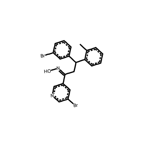 Cc1ccccc1C(CC(=NO)c1cncc(Br)c1)c1cccc(Br)c1